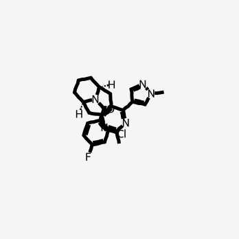 Cc1nc2c(c(-c3cnn(C)c3)n1)C[C@@H]1CCC[C@H](C2)N1C(=O)c1ccc(F)cc1Cl